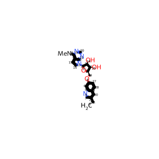 C=Cc1cnc2cc(OC[C@H]3O[C@@H](n4ccc5c(NC)ncnc54)[C@H](O)[C@@H]3O)ccc2c1